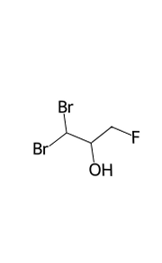 OC(CF)C(Br)Br